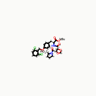 CC(C)(C)OC(=O)[C@H](Cc1ccc(OCc2c(Cl)cccc2Cl)cc1)NC(=O)[C@@H]1OCO[C@H]1C(=O)N1CCCC1C(=O)O